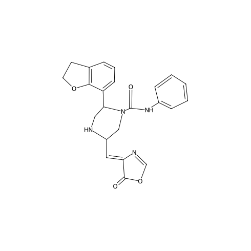 O=C1OC=N/C1=C\C1CN(C(=O)Nc2ccccc2)C(c2cccc3c2OCC3)CN1